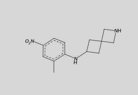 Cc1cc([N+](=O)[O-])ccc1NC1CC2(CNC2)C1